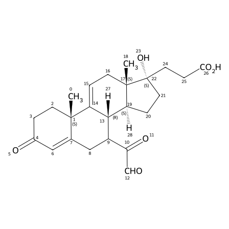 C[C@]12CCC(=O)C=C1CC(C(=O)C=O)[C@@H]1C2=CC[C@@]2(C)[C@H]1CC[C@]2(O)CCC(=O)O